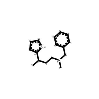 CC(CCN(C)Cc1ccccc1)c1cccs1